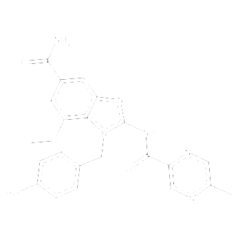 COc1cc(C(N)=O)cc2nc(NC(=O)c3cnc(C)cn3)n(Cc3ccc(O)cc3)c12